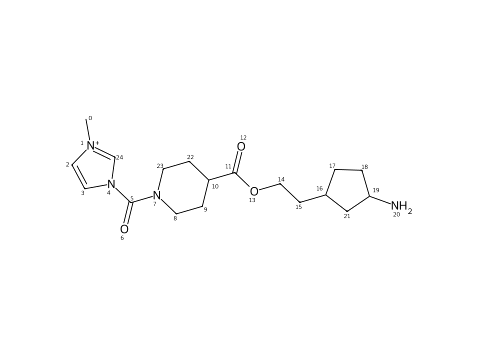 C[n+]1ccn(C(=O)N2CCC(C(=O)OCCC3CCC(N)C3)CC2)c1